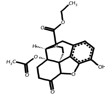 CCOC(=O)N1CC[C@]23c4c5ccc(O)c4OC2C(=O)CC[C@@]3(OC(C)=O)[C@H]1C5